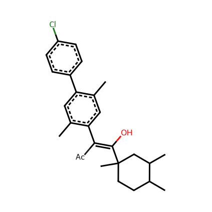 CC(=O)/C(=C(/O)C1(C)CCC(C)C(C)C1)c1cc(C)c(-c2ccc(Cl)cc2)cc1C